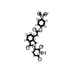 O=C1CCC(N2Cc3c(CC(=O)Oc4ccc([N+](=O)[O-])cc4)cccc3C2=O)C(=O)N1